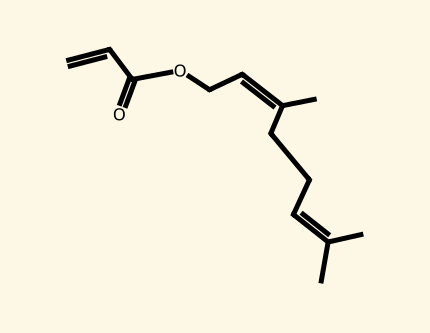 C=CC(=O)OCC=C(C)CCC=C(C)C